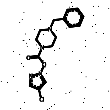 O=C(On1cc(Cl)cn1)N1CCN(Cc2ccccc2)CC1